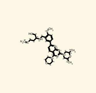 COc1ccc(-c2ccc3c(N4CCOCC4)nc(N4CC(C)OC(C)C4)nc3n2)cc1CNC(CO)CCSC